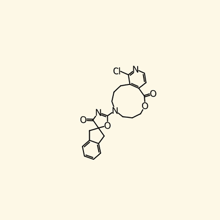 O=C1OCCCN(C2=NC(=O)C3(Cc4ccccc4C3)O2)CCCc2c1ccnc2Cl